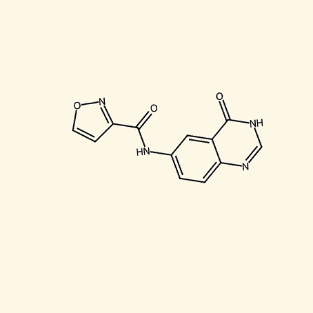 O=C(Nc1ccc2nc[nH]c(=O)c2c1)c1ccon1